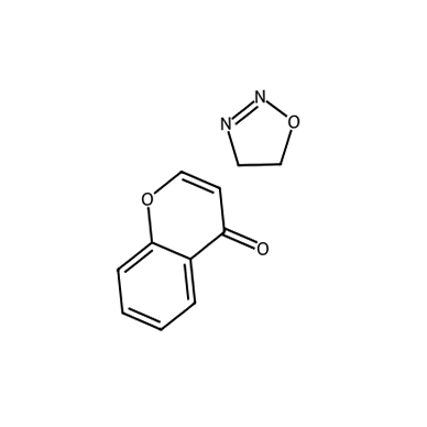 C1CON=N1.O=c1ccoc2ccccc12